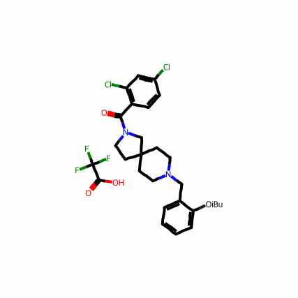 CC(C)COc1ccccc1CN1CCC2(CC1)CCN(C(=O)c1ccc(Cl)cc1Cl)C2.O=C(O)C(F)(F)F